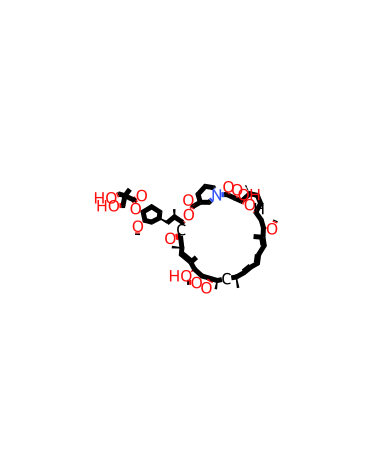 CO[C@H]1C[C@@H]2CC[C@@H](C)[C@@](O)(O2)C(=O)C(=O)N2CCCC(C2)C(=O)O[C@H]([C@H](C)C[C@@H]2CC[C@@H](OC(=O)C(C)(CO)CO)[C@H](OC)C2)CC(=O)[C@H](C)/C=C(\C)[C@@H](O)[C@@H](OC)C(=O)[C@H](C)C[C@H](C)/C=C/C=C/C=C/1C